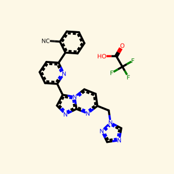 N#Cc1ccccc1-c1cccc(-c2cnc3nc(Cn4cncn4)ccn23)n1.O=C(O)C(F)(F)F